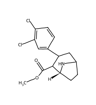 COC(=O)C1C(c2ccc(Cl)c(Cl)c2)CC2CC[C@H]1N2